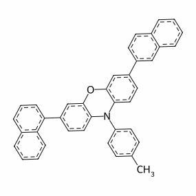 Cc1ccc(N2c3ccc(-c4ccc5ccccc5c4)cc3Oc3cc(-c4cccc5ccccc45)ccc32)cc1